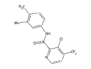 Cc1ccc(NC(=O)c2nccc(C(F)(F)F)c2Cl)cc1C(C)(C)C